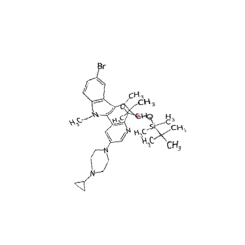 CCn1c(-c2cc(N3CCN(C4CC4)CC3)cnc2C(C)OC)c(CC(C)(C)CO[Si](C)(C)C(C)(C)C)c2cc(Br)ccc21